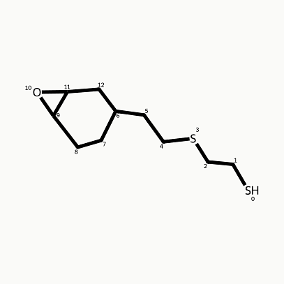 SCCSCCC1CCC2OC2C1